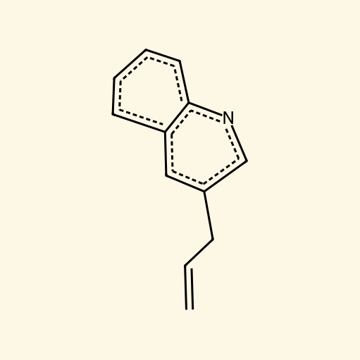 C=CCc1cnc2ccccc2c1